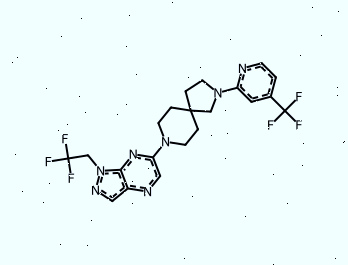 FC(F)(F)Cn1ncc2ncc(N3CCC4(CCN(c5cc(C(F)(F)F)ccn5)C4)CC3)nc21